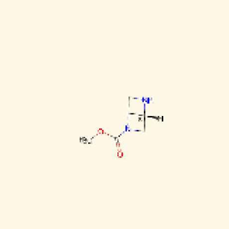 CC(C)(C)OC(=O)N1C[C@H]2NCC21